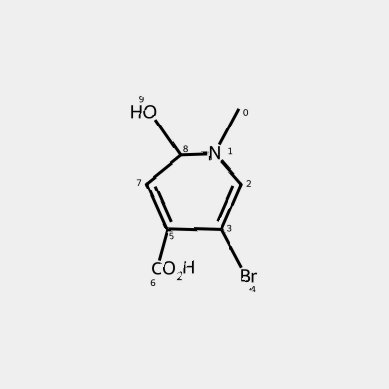 CN1C=C(Br)C(C(=O)O)=CC1O